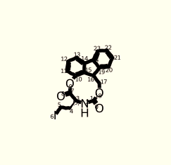 O=C1N[C@@H](CCI)C(=O)Oc2cccc3c2C(CO1)c1ccccc1-3